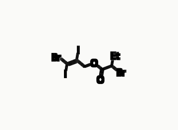 CCC(Br)C(=O)OCC(I)=C(Br)I